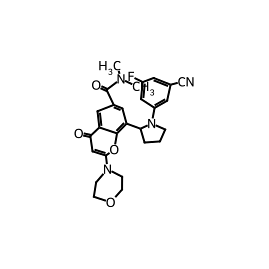 CN(C)C(=O)c1cc(C2CCCN2c2cc(F)cc(C#N)c2)c2oc(N3CCOCC3)cc(=O)c2c1